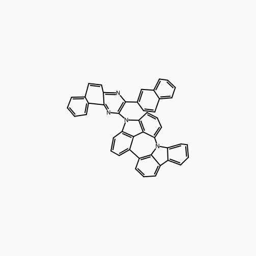 c1ccc2cc(-c3nc4ccc5ccccc5c4nc3-n3c4cccc5c6cccc7c8ccccc8n(c8cccc3c8c54)c67)ccc2c1